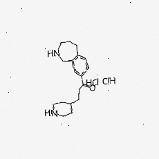 Cl.Cl.O=C(CCC1CCNCC1)c1ccc2c(c1)CNCCC2